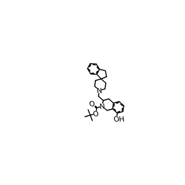 CC(C)(C)OC(=O)N1Cc2c(O)cccc2CC1CN1CCC2(CCc3ccccc32)CC1